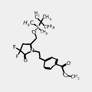 COC(=O)c1ccc(CCN2C(=O)C(F)(F)CC2CO[Si](C)(C)C(C)(C)C)cc1